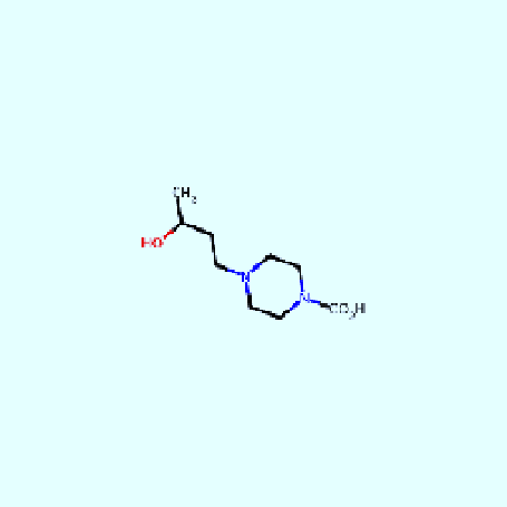 CC(O)CCN1CCN(C(=O)O)CC1